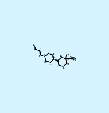 CCCCC1CCC(C2CCCC(C)(C#N)C2)CC1